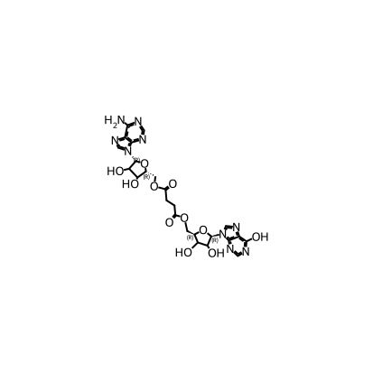 Nc1ncnc2c1ncn2[C@@H]1O[C@H](COC(=O)CCC(=O)OC[C@H]2O[C@@H](n3cnc4c(O)ncnc43)C(O)C2O)C(O)C1O